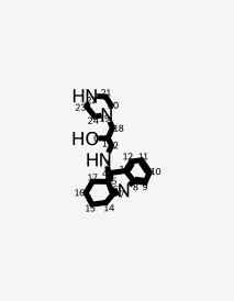 OC(CNc1c2c(nc3ccccc13)CCCC2)CN1CCNCC1